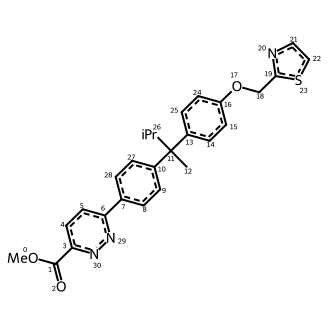 COC(=O)c1ccc(-c2ccc(C(C)(c3ccc(OCc4nccs4)cc3)C(C)C)cc2)nn1